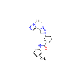 Cc1cccc(NC(=O)c2cccc(-n3cc(-c4cncn4C)nn3)c2)c1